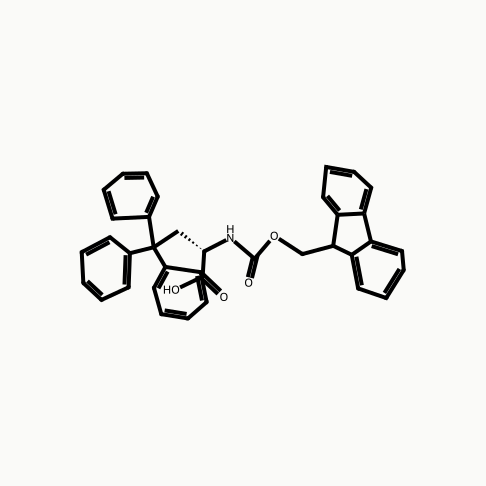 O=C(N[C@@H](CC(c1ccccc1)(c1ccccc1)c1ccccc1)C(=O)O)OCC1c2ccccc2-c2ccccc21